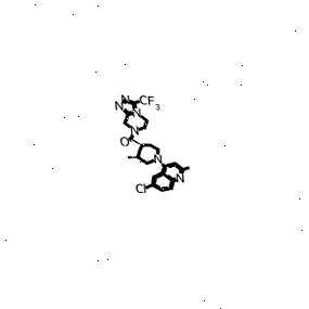 Cc1cc(N2CC[C@H](C(=O)N3CCn4c(nnc4C(F)(F)F)C3)[C@H](C)C2)c2cc(Cl)ccc2n1